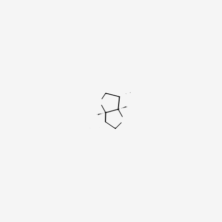 CC(=O)O[C@H]1CO[C@@H]2[C@H]1OC[C@@H]2O